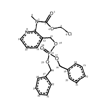 CN(C(=O)OCCl)c1ncccc1COP(=O)(OCc1ccccc1)OCc1ccccc1